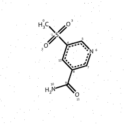 CS(=O)(=O)c1cncc(C(N)=O)c1